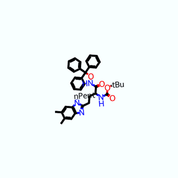 CCCCCn1c(CCC(NC(=O)OC(C)(C)C)C(=O)NOC(c2ccccc2)(c2ccccc2)c2ccccc2)nc2cc(C)c(C)cc21